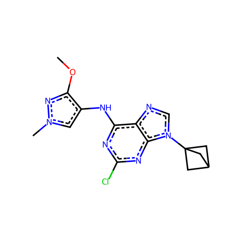 COc1nn(C)cc1Nc1nc(Cl)nc2c1ncn2C12CC(C1)C2